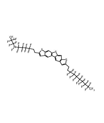 FN(C(F)(F)C(F)(F)C(F)(F)F)C(F)(F)C(F)(F)C(F)(F)C(F)(F)CCc1cc2cc3c(cc2s1)sc1cc2sc(CCC(F)(F)C(F)(F)C(F)(F)C(F)(F)C(F)(F)C(F)(F)C(F)(F)C(F)(F)F)cc2cc13